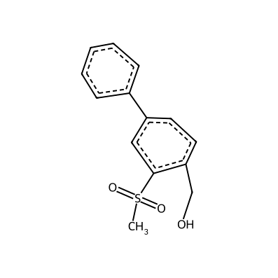 CS(=O)(=O)c1cc(-c2ccccc2)ccc1CO